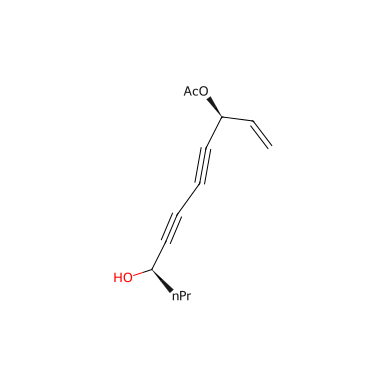 C=C[C@@H](C#CC#C[C@H](O)CCC)OC(C)=O